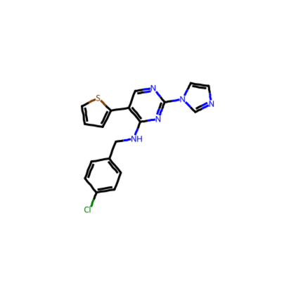 Clc1ccc(CNc2nc(-n3ccnc3)ncc2-c2cccs2)cc1